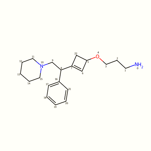 NCCCOC1C=C(C(CN2CCCCC2)c2ccccc2)C1